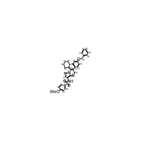 COc1ccc(S(=O)(=O)Nc2cnn3c(C4CCCCC4)c(-c4ccc(OCc5ccccc5)cc4)cnc23)cc1